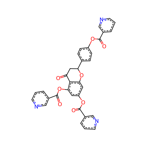 O=C(Oc1ccc(C2CC(=O)c3c(OC(=O)c4cccnc4)cc(OC(=O)c4cccnc4)cc3O2)cc1)c1cccnc1